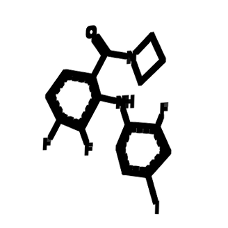 O=C(c1ccc(F)c(F)c1Nc1ccc(I)cc1F)N1CCC1